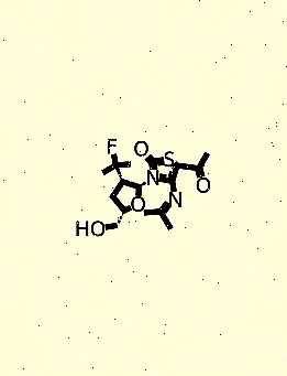 CC(=O)c1sc(=O)n([C@@H]2O[C@H](CO)C[C@H]2C(C)(C)F)c1N=C(C)C